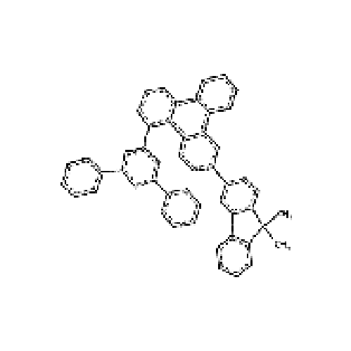 CC1(C)c2ccccc2-c2cc(-c3ccc4c(c3)c3ccccc3c3cccc(-c5cc(-c6ccccc6)nc(-c6ccccc6)c5)c34)ccc21